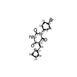 O=C1NC(=O)N(c2ccc(Br)cc2)C(=O)C1=Cc1cccs1